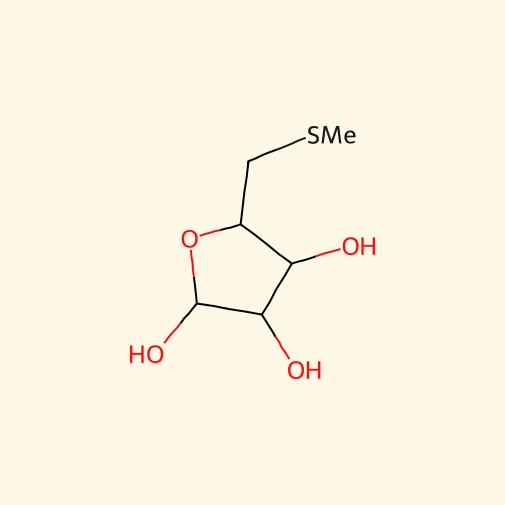 CSCC1OC(O)C(O)C1O